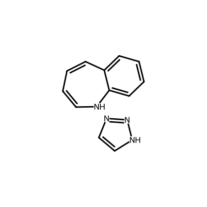 C1=CNc2ccccc2C=C1.c1c[nH]nn1